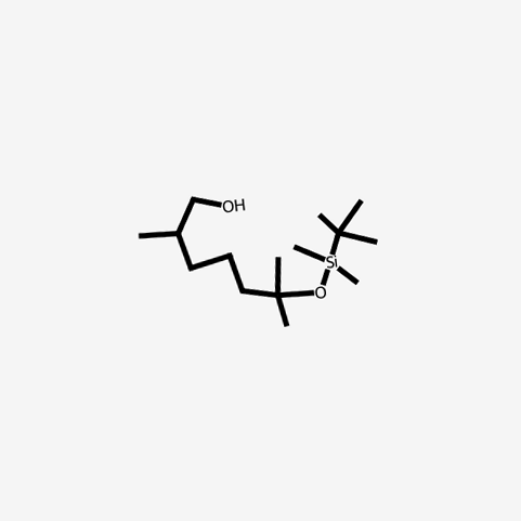 CC(CO)CCCC(C)(C)O[Si](C)(C)C(C)(C)C